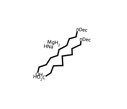 CCCCCCCCCCCCCCCCCC(=O)O.CCCCCCCCCCCCCCCCCCO.[MgH2].[NaH]